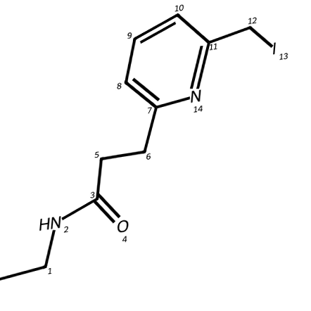 CCNC(=O)CCc1cccc(CI)n1